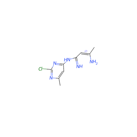 C/C(N)=C/C(=N)Nc1cc(C)nc(Cl)n1